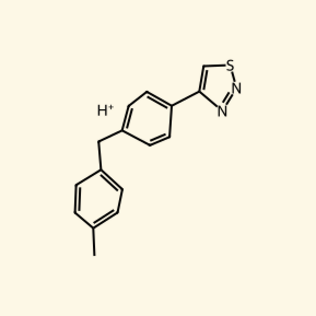 Cc1ccc(Cc2ccc(-c3csnn3)cc2)cc1.[H+]